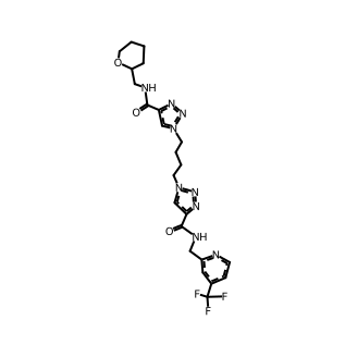 O=C(NCc1cc(C(F)(F)F)ccn1)c1cn(CCCCn2cc(C(=O)NCC3CCCCO3)nn2)nn1